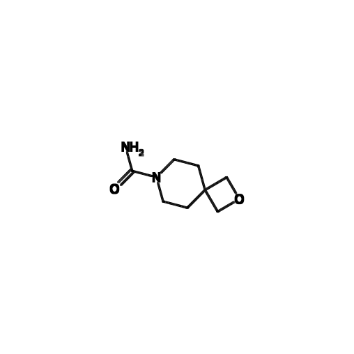 NC(=O)N1CCC2(CC1)COC2